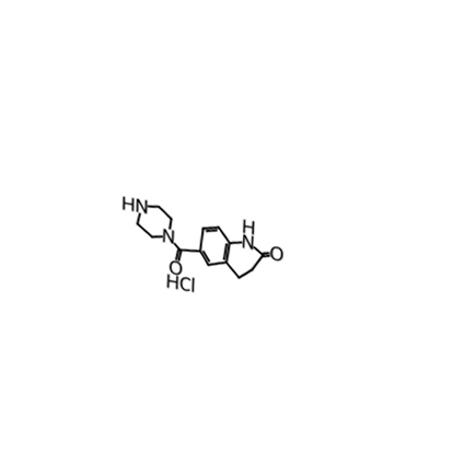 Cl.O=C1CCc2cc(C(=O)N3CCNCC3)ccc2N1